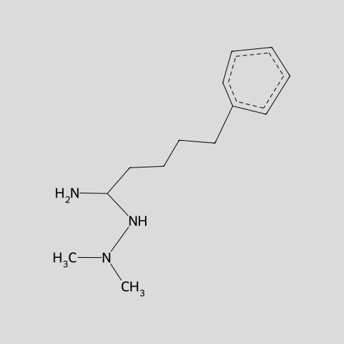 CN(C)NC(N)CCCCc1ccccc1